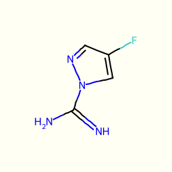 N=C(N)n1cc(F)cn1